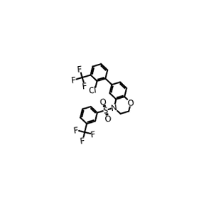 O=S(=O)(c1cccc(C(F)(F)F)c1)N1CCOc2ccc(-c3cccc(C(F)(F)F)c3Cl)cc21